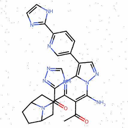 CC(=O)c1c(C2CC3CCC(C2)N3C(=O)c2nnc[nH]2)nc2c(-c3ccc(-c4ncc[nH]4)nc3)cnn2c1N